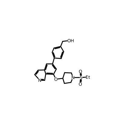 CCS(=O)(=O)N1CCC(Oc2cc(-c3ccc(CO)cc3)cc3ccncc23)CC1